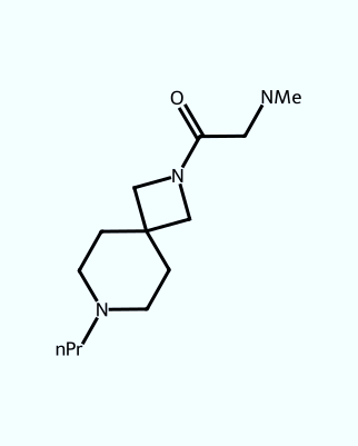 CCCN1CCC2(CC1)CN(C(=O)CNC)C2